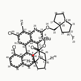 CC(C)(C)OC(=O)N1[C@@H]2CC[C@H]1CN(c1nc(OC[C@@]34CCCN3C[C@H](F)C4)nc3c(F)c(Cl)nc(-c4cccc5cccc(Cl)c45)c13)C2